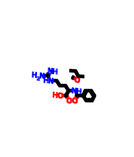 C=O.CCCC.N=C(N)NCCCC(NC(=O)c1ccccc1)C(=O)O